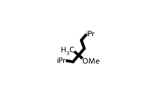 COC(C)(CCC(C)C)CC(C)C